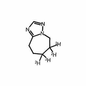 [2H]C1([2H])CCc2ncnn2CC1([2H])[2H]